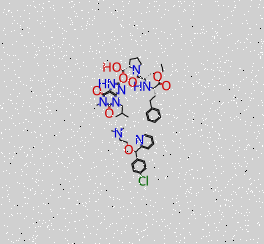 CC(C)Cn1c(=O)n(C)c(=O)c2[nH]cnc21.CCOC(=O)[C@H](CCc1ccccc1)N[C@@H](C)C(=O)N1CCC[C@H]1C(=O)O.CN(C)CCOC(c1ccc(Cl)cc1)c1ccccn1